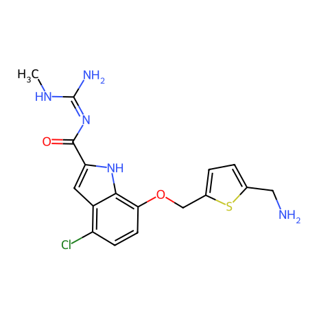 CNC(N)=NC(=O)c1cc2c(Cl)ccc(OCc3ccc(CN)s3)c2[nH]1